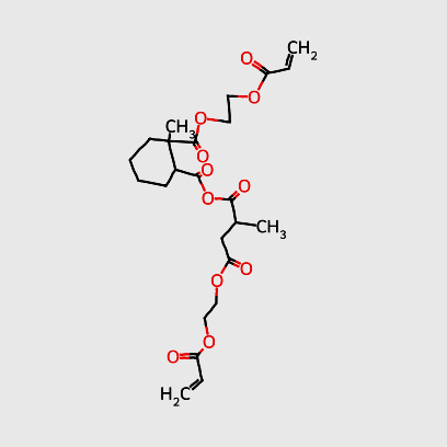 C=CC(=O)OCCOC(=O)CC(C)C(=O)OC(=O)C1CCCCC1(C)C(=O)OCCOC(=O)C=C